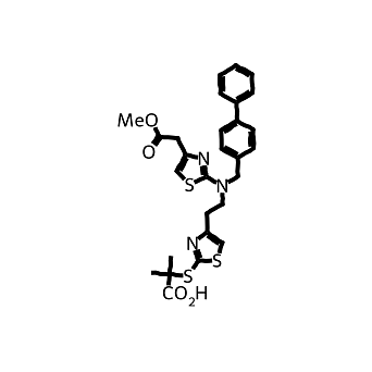 COC(=O)Cc1csc(N(CCc2csc(SC(C)(C)C(=O)O)n2)Cc2ccc(-c3ccccc3)cc2)n1